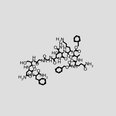 CC(NC(=O)C(CCC(N)=O)NC(=O)OCc1ccccc1)C(=O)N(C(=O)OCc1ccccc1)C(CCCCN)C(=O)NC(CO)C(=O)NC(CCC(N)=O)C(=O)NCC(=O)NCC(=O)NC(CO)C(=O)NC(CC(N)=O)C(=O)NC(Cc1ccccc1)C(N)=O